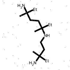 CCC(C)(N)CCNC(C)(CC)CCC(C)(N)CC